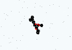 c1ccc(-c2ccc(-c3nc(-c4ccc(-c5cc6ccccc6c6ccccc56)cc4)ncc3-c3ccc(-c4cnc5ccccc5c4)cc3)cc2)cc1